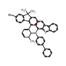 CC1C=CC=C(c2cccc3c2-c2ccc(C(C)(C)C)cc2C3(C)C)C1N(c1ccc(-c2ccccc2)cc1)c1cccc2c1sc1ccccc12